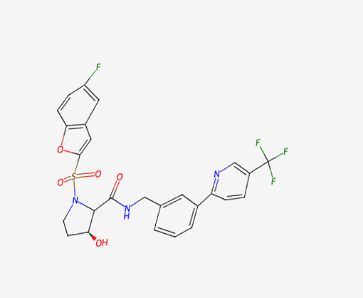 O=C(NCc1cccc(-c2ccc(C(F)(F)F)cn2)c1)C1[C@@H](O)CCN1S(=O)(=O)c1cc2cc(F)ccc2o1